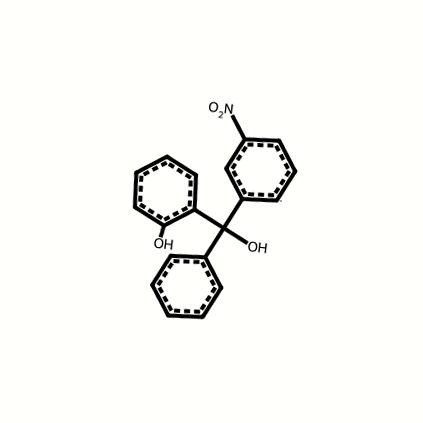 O=[N+]([O-])c1cc[c]c(C(O)(c2ccccc2)c2ccccc2O)c1